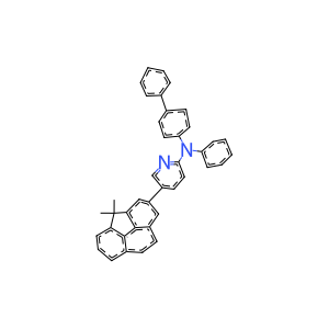 CC1(C)c2cccc3ccc4cc(-c5ccc(N(c6ccccc6)c6ccc(-c7ccccc7)cc6)nc5)cc1c4c23